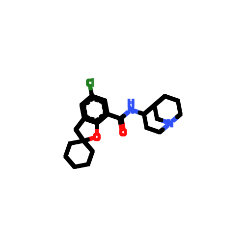 O=C(NC1CCN2CCCC1C2)c1cc(Cl)cc2c1OC1(CCCCC1)C2